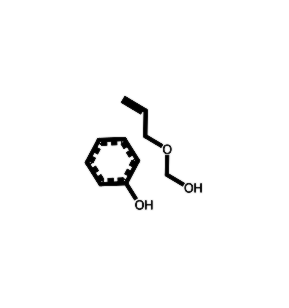 C=CCOCO.Oc1ccccc1